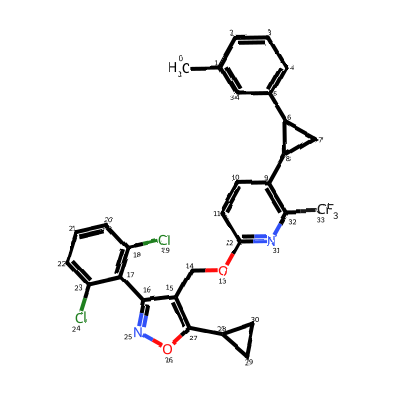 Cc1cccc(C2CC2c2ccc(OCc3c(-c4c(Cl)cccc4Cl)noc3C3CC3)nc2C(F)(F)F)c1